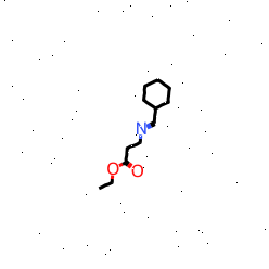 CCOC(=O)CCN=CC1CCCCC1